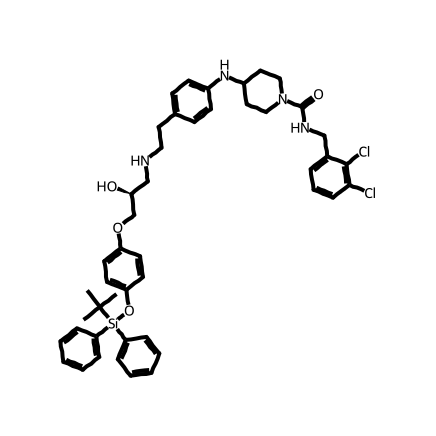 CC(C)(C)[Si](Oc1ccc(OC[C@@H](O)CNCCc2ccc(NC3CCN(C(=O)NCc4cccc(Cl)c4Cl)CC3)cc2)cc1)(c1ccccc1)c1ccccc1